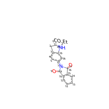 CCOC(=O)C1Cc2ccc(N3C(=O)c4ccccc4C3=O)cc2N1